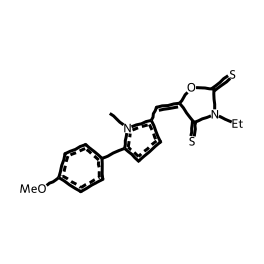 CCN1C(=S)O/C(=C/c2ccc(-c3ccc(OC)cc3)n2C)C1=S